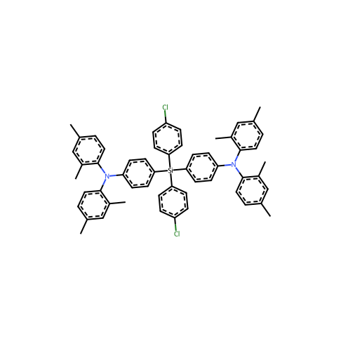 Cc1ccc(N(c2ccc([Si](c3ccc(Cl)cc3)(c3ccc(Cl)cc3)c3ccc(N(c4ccc(C)cc4C)c4ccc(C)cc4C)cc3)cc2)c2ccc(C)cc2C)c(C)c1